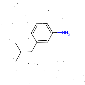 CC(C)Cc1[c]ccc(N)c1